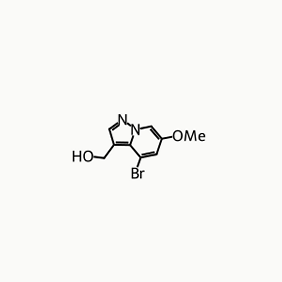 COc1cc(Br)c2c(CO)cnn2c1